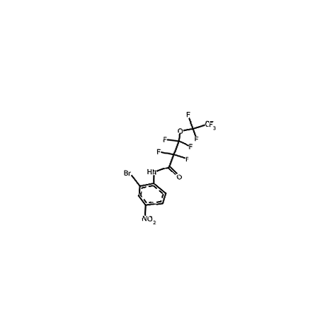 O=C(Nc1ccc([N+](=O)[O-])cc1Br)C(F)(F)C(F)(F)OC(F)(F)C(F)(F)F